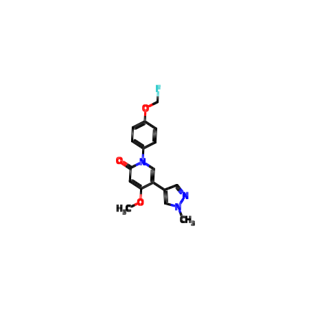 COc1cc(=O)n(-c2ccc(OCF)cc2)cc1-c1cnn(C)c1